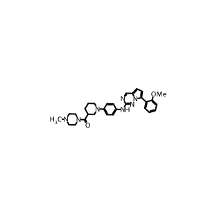 COc1ccccc1-c1ccc2cnc(Nc3ccc(N4CCCC(C(=O)N5CCN(C)CC5)C4)cc3)nn12